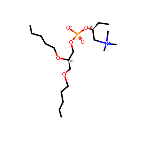 CCCCCOC[C@H](COP(=O)([O-])O[C@@H](CC)C[N+](C)(C)C)OCCCCC